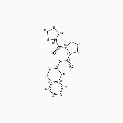 O=C([C@H]1CCCN1C(=O)CC1CCc2ccccc2C1)N1CCCC1